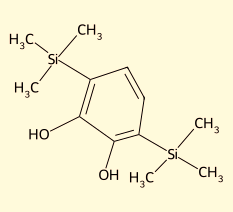 C[Si](C)(C)c1ccc([Si](C)(C)C)c(O)c1O